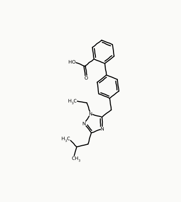 CCn1nc(CC(C)C)nc1Cc1ccc(-c2ccccc2C(=O)O)cc1